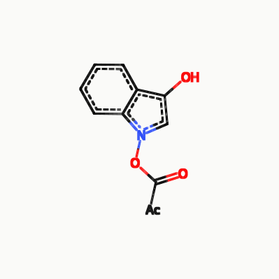 CC(=O)C(=O)On1cc(O)c2ccccc21